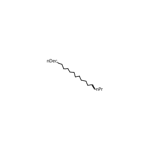 CCC/C=C/CCCCCCCCCCCCCCCCCCCCC